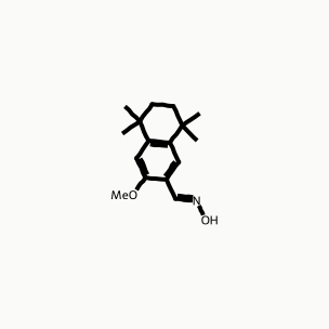 COc1cc2c(cc1C=NO)C(C)(C)CCC2(C)C